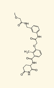 Cc1c(OCC(=O)Nc2cccc(CNC(=O)COI)c2)cccc1C(=O)NC1CCC(=O)NC1=O